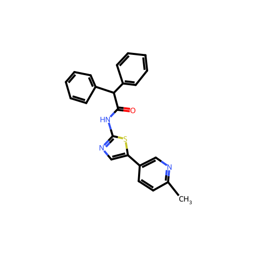 Cc1ccc(-c2cnc(NC(=O)C(c3ccccc3)c3ccccc3)s2)cn1